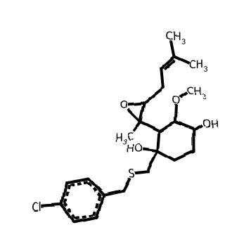 COC1C(O)CCC(O)(CSCc2ccc(Cl)cc2)C1C1(C)OC1CC=C(C)C